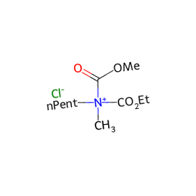 CCCCC[N+](C)(C(=O)OC)C(=O)OCC.[Cl-]